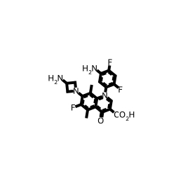 Cc1c(F)c(N2CC(N)C2)c(C)c2c1c(=O)c(C(=O)O)cn2-c1cc(N)c(F)cc1F